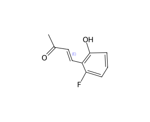 CC(=O)/C=C/c1c(O)cccc1F